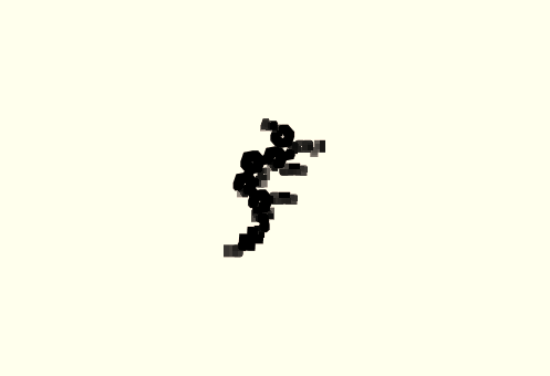 COc1nc(-c2cccc(-c3ccnc(-c4cc(OC)c5nc(CN6CC7(CC(O)C7)C6)nn5c4)c3Cl)c2Cl)ccc1CN(C(=O)O)C1CCN(C(C)=O)CC1